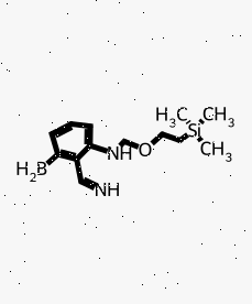 Bc1cccc(NCOCC[Si](C)(C)C)c1C=N